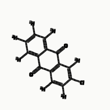 [2H]c1c([2H])c([2H])c2c(c1[2H])C(=O)c1c([2H])c([2H])c(Cl)c([2H])c1C2=O